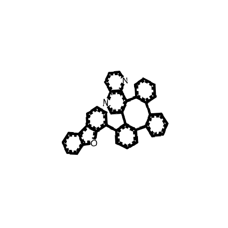 c1ccc2c(c1)-c1ccccc1-c1c(cnc3cccnc13)-c1c-2cccc1-c1cccc2c1oc1ccccc12